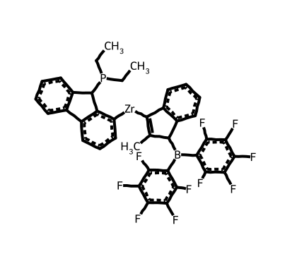 CCP(CC)C1c2ccccc2-c2ccc[c]([Zr][C]3=C(C)C(B(c4c(F)c(F)c(F)c(F)c4F)c4c(F)c(F)c(F)c(F)c4F)c4ccccc43)c21